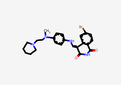 CN(CCN1CCCCC1)c1ccc(N/C=C2/C(=O)NC(=O)c3ccc(Br)cc32)cc1